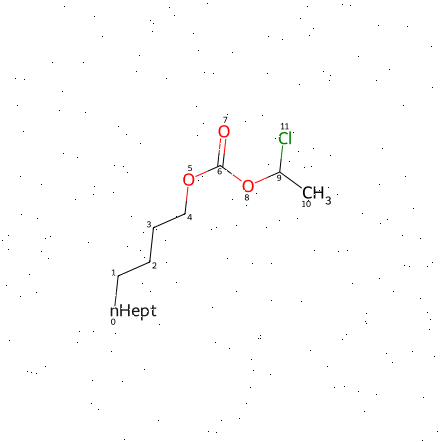 CCCCCCCCCCCOC(=O)OC(C)Cl